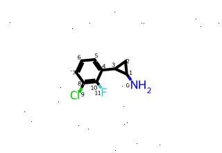 NC1CC1c1cccc(Cl)c1F